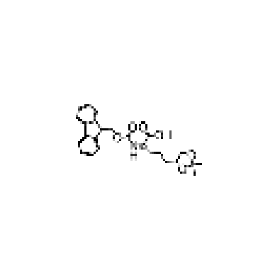 CC1(C)OCC(CCC[C@H](NC(=O)OCC2c3ccccc3-c3ccccc32)C(=O)O)O1